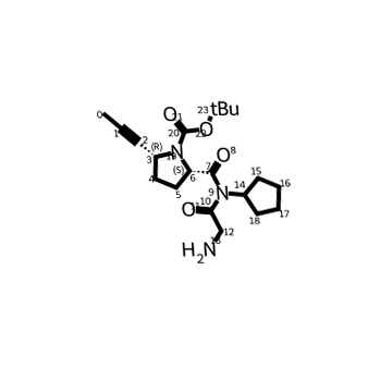 CC#C[C@H]1CC[C@@H](C(=O)N(C(=O)CN)C2CCCC2)N1C(=O)OC(C)(C)C